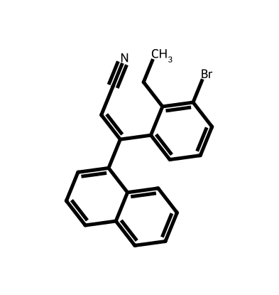 CCc1c(Br)cccc1C(=CC#N)c1cccc2ccccc12